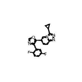 Fc1ccc(F)c(-c2ncoc2-c2ccc3nnc(C4CC4)n3c2)c1